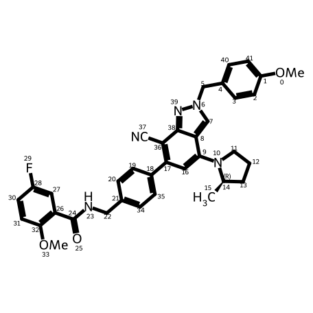 COc1ccc(Cn2cc3c(N4CCC[C@H]4C)cc(-c4ccc(CNC(=O)c5cc(F)ccc5OC)cc4)c(C#N)c3n2)cc1